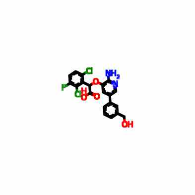 Nc1ncc(-c2cccc(CO)c2)cc1OC(C(=O)O)c1c(Cl)ccc(F)c1Cl